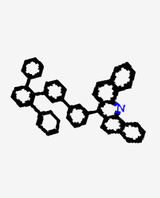 C1=CCCC(c2cccc(-c3ccccc3)c2-c2cccc(-c3cccc(-c4c5ccc6ccccc6c5nc5c4ccc4ccccc45)c3)c2)=C1